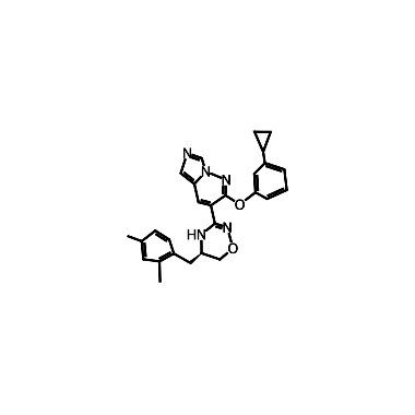 Cc1ccc(C[C@@H]2CON=C(c3cc4cncn4nc3Oc3cccc(C4CC4)c3)N2)c(C)c1